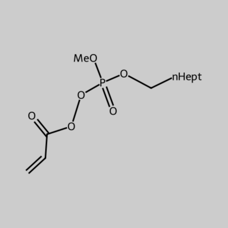 C=CC(=O)OOP(=O)(OC)OCCCCCCCC